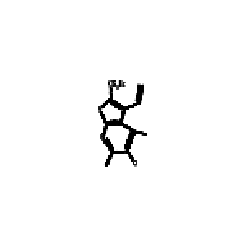 C=Cc1c(C(=O)OCC)sc2nc(C)c(Cl)c(C)c12